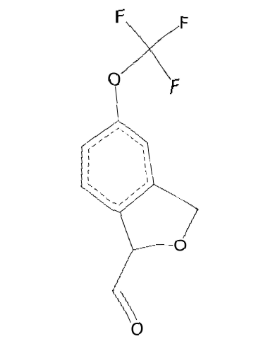 O=CC1OCc2cc(OC(F)(F)F)ccc21